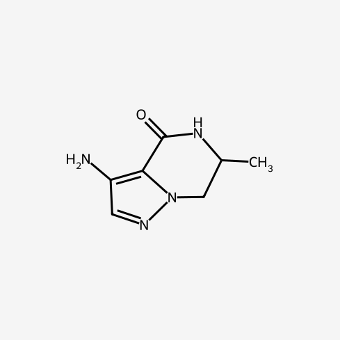 CC1Cn2ncc(N)c2C(=O)N1